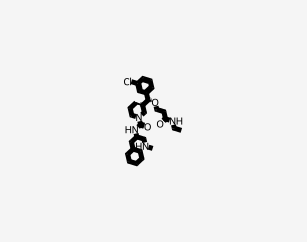 CCNC(=O)CCO[C@@H](c1cccc(Cl)c1)[C@@H]1CCCN(C(=O)NC(CNC)CC2CCCCC2)C1